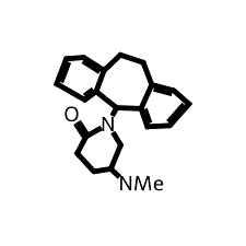 CNC1CCC(=O)N(C2c3ccccc3CCc3ccccc32)C1